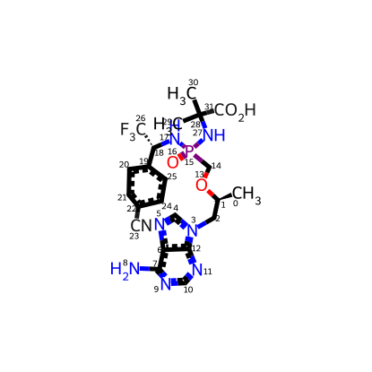 C[C@@H](Cn1cnc2c(N)ncnc21)OCP(=O)(N[C@H](c1ccc(C#N)cc1)C(F)(F)F)NC(C)(C)C(=O)O